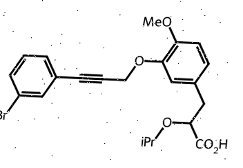 COc1ccc(CC(OC(C)C)C(=O)O)cc1OCC#Cc1cccc(Br)c1